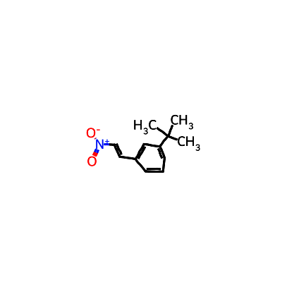 CC(C)(C)c1cccc(/C=C/[N+](=O)[O-])c1